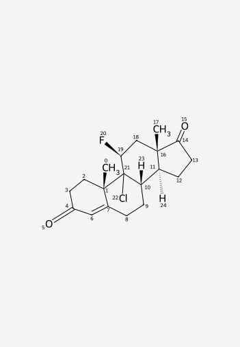 C[C@]12CCC(=O)C=C1CC[C@H]1[C@@H]3CCC(=O)[C@@]3(C)C[C@H](F)C12Cl